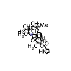 C=C1O[C@H](C(C)O)[C@H](C)/C=C(\C)[C@]23O[C@@H]4[C@H](C=CC2C[C@@H]1OC)[C@H]3C(=O)[C@@H](C)[C@H]4OC(=O)c1ccc[nH]1